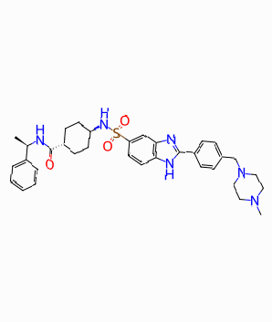 C[C@@H](NC(=O)[C@H]1CC[C@H](NS(=O)(=O)c2ccc3[nH]c(-c4ccc(CN5CCN(C)CC5)cc4)nc3c2)CC1)c1ccccc1